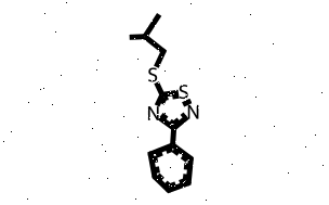 CC(C)CSc1nc(-c2ccccc2)ns1